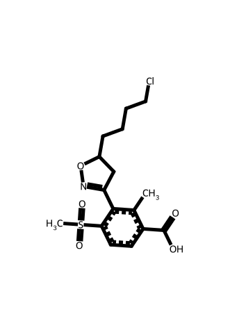 Cc1c(C(=O)O)ccc(S(C)(=O)=O)c1C1=NOC(CCCCCl)C1